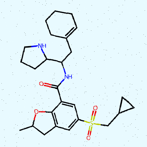 CC1Cc2cc(S(=O)(=O)CC3CC3)cc(C(=O)NC(CC3=CCCCC3)C3CCCN3)c2O1